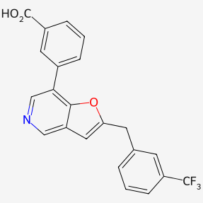 O=C(O)c1cccc(-c2cncc3cc(Cc4cccc(C(F)(F)F)c4)oc23)c1